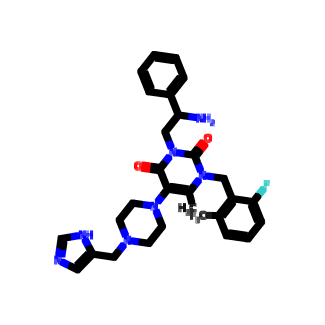 Cc1c(N2CCN(Cc3cnc[nH]3)CC2)c(=O)n(CC(N)c2ccccc2)c(=O)n1Cc1c(F)cccc1C(F)(F)F